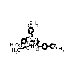 CCCCOc1nc(N(Cc2ccc(OC)cc2)Cc2ccc(OC)cc2)c2ncc(C(O)c3ccc(C4CCN(C)C4)cc3)n2n1